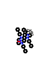 CC1(C)c2ccccc2-c2cc3c(N(c4ccc(-c5ccccc5)cc4)c4ccccn4)c4cc(N(c5ccc(-c6ccccc6)cc5)c5ccccn5)ccc4c(N(c4ccc(-c5ccccc5)cc4)c4ccccn4)c3cc21